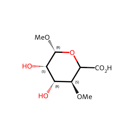 CO[C@@H]1OC(C(=O)O)[C@@H](OC)[C@H](O)[C@@H]1O